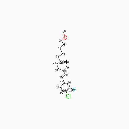 COCCCCC[SiH]1CCC(CCc2ccc(Cl)c(F)c2)CC1